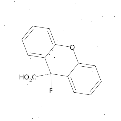 O=C(O)C1(F)c2ccccc2Oc2ccccc21